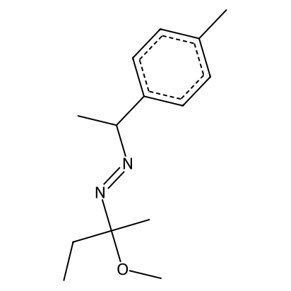 CCC(C)(N=NC(C)c1ccc(C)cc1)OC